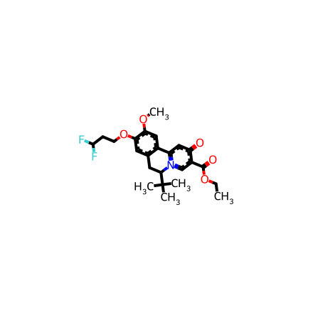 CCOC(=O)c1cn2c(cc1=O)-c1cc(OC)c(OCCC(F)F)cc1CC2C(C)(C)C